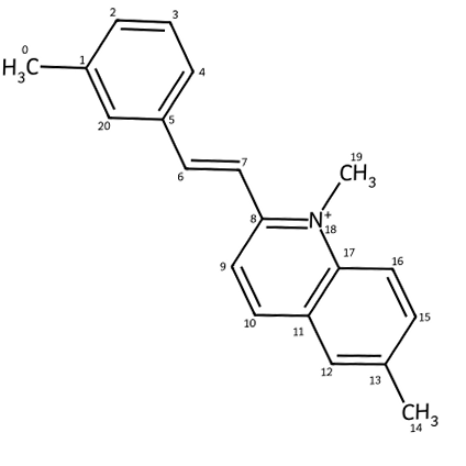 Cc1cccc(/C=C/c2ccc3cc(C)ccc3[n+]2C)c1